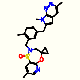 Cc1cnc2c(c1)[S+]([O-])N(Cc1cc(Cc3cc4cc(C)nnc4n3C)ccc1C)CC1(CC1)O2